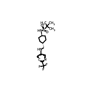 CC(C)(C)S(=O)(=O)N[C@H]1CC[C@H](CNc2ccc(C(F)(F)F)nc2)CC1